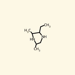 CCC1NCC(C)NC1C